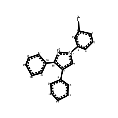 Fc1cccc(-n2cc(-c3ccccc3)c(-c3ccccc3)n2)c1